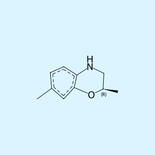 Cc1ccc2c(c1)O[C@H](C)CN2